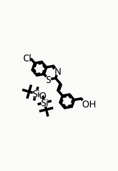 CC(C)(C)[Si](C)(C)O[Si](C)(C)C(C)(C)C.OCc1cccc(C=CC2N=Cc3cc(Cl)ccc3S2)c1